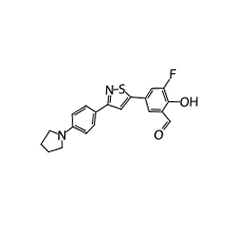 O=Cc1cc(-c2cc(-c3ccc(N4CCCC4)cc3)ns2)cc(F)c1O